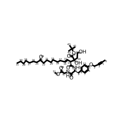 CC#CCOc1ccc(C[C@H](NC(=O)[C@@H](/C=C/CCCCCCC(=O)CCCCCCC)[C@@](O)(CCO)C(=O)OC(C)(C)C)C(=O)NCC(=O)OC)cc1